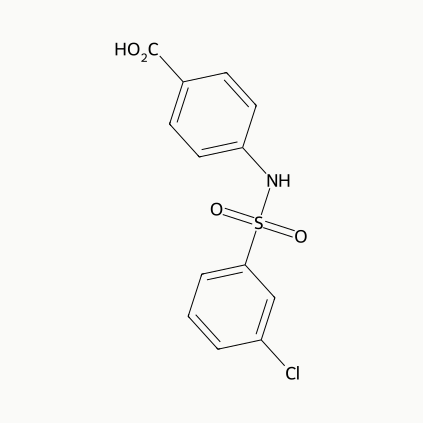 O=C(O)c1ccc(NS(=O)(=O)c2cccc(Cl)c2)cc1